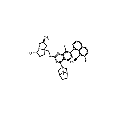 C#Cc1c(F)ccc2cccc(-c3ncc4c(N5CC6CCC(C5)N6)nc(OC[C@@]56CC[C@@H](C)N5CC(=C)C6)nc4c3F)c12